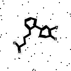 O=C(Cl)CCCc1ccccc1-c1ccc(Cl)c(Cl)c1